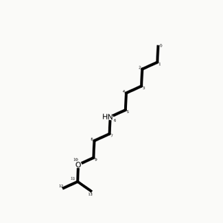 CCCCCCNCCCOC(C)C